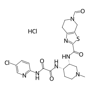 CN1CC[C@H](NC(=O)C(=O)Nc2ccc(Cl)cn2)[C@H](NC(=O)c2nc3c(s2)CN(C=O)CC3)C1.Cl